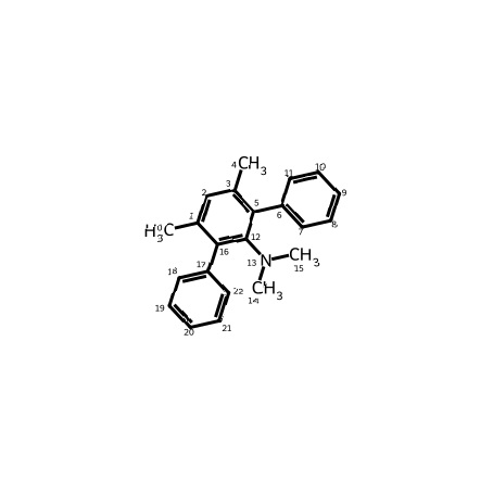 Cc1cc(C)c(-c2ccccc2)c(N(C)C)c1-c1ccccc1